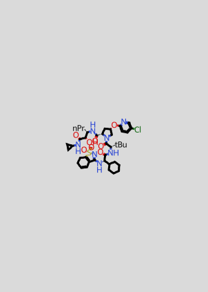 CCC[C@H](NC(=O)[C@@H]1C[C@@H](Oc2ccc(Cl)cn2)CN1C(=O)[C@@H](NC(=O)[C@@H](NC1=NS(=O)(=O)C2=C1C=CCC2)C1CCCCC1)C(C)(C)C)C(O)C(=O)NC1CC1